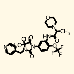 CC(C(=O)Nc1cc(N2C(=O)N(Cc3ccncc3)C(C)(C)C2=O)ccc1OC(F)(F)F)N1CCOCC1